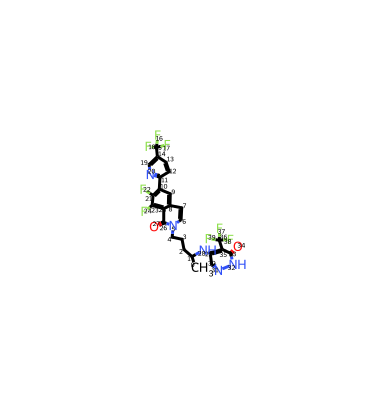 CC(CCCn1ccc2cc(-c3ccc(C(F)(F)F)cn3)c(F)c(F)c2c1=O)Nc1cn[nH]c(=O)c1C(F)(F)F